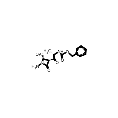 CC(=O)O[C@H]1[C@@H](C(=O)[C@H](C)NC(=O)OCc2ccccc2)C(=O)N1N